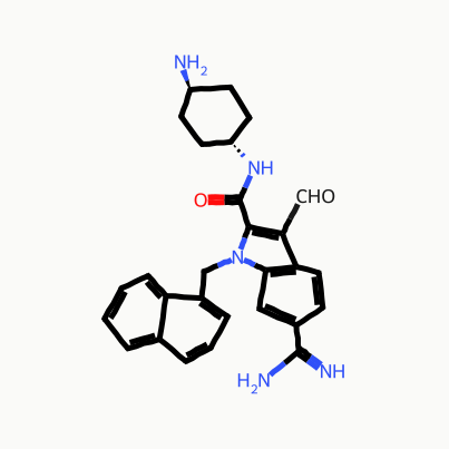 N=C(N)c1ccc2c(C=O)c(C(=O)N[C@H]3CC[C@H](N)CC3)n(Cc3cccc4ccccc34)c2c1